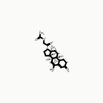 CC(=O)OCC(=O)[C@H]1CC[C@H]2[C@@H]3C=C(O)C4=CC(=O)CC[C@]4(C)[C@H]3CC[C@]12C